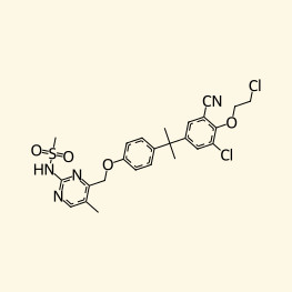 Cc1cnc(NS(C)(=O)=O)nc1COc1ccc(C(C)(C)c2cc(Cl)c(OCCCl)c(C#N)c2)cc1